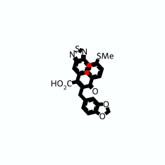 CSc1ccc(C(=O)/C(Cc2ccc3c(c2)OCO3)=C(/C(=O)O)c2ccc3nsnc3c2)cc1